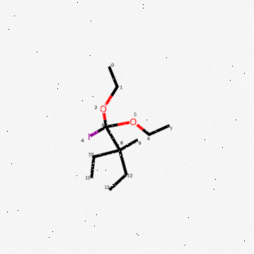 CCOC(I)(OCC)C(C)(CC)CC